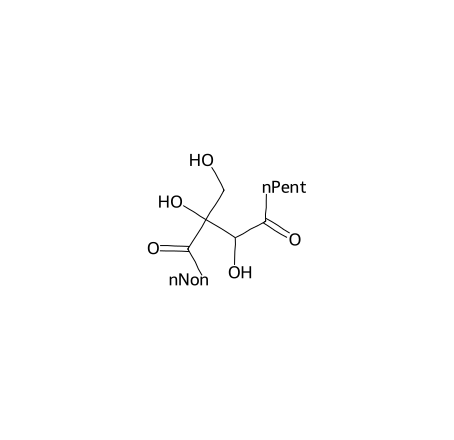 CCCCCCCCCC(=O)C(O)(CO)C(O)C(=O)CCCCC